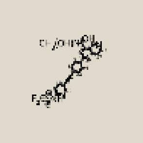 CN(O)C(O)c1cc(-c2ccc(C#Cc3ccc(NS(=O)(=O)C(F)(F)F)nc3)cc2)nc2ccncc12